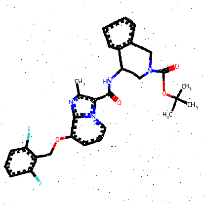 Cc1nc2c(OCc3c(F)cccc3F)cccn2c1C(=O)NC1CN(C(=O)OC(C)(C)C)Cc2ccccc21